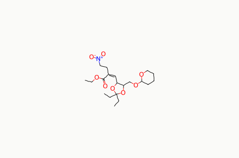 CCOC(=O)C(=CC1OC(CC)(CC)OC1COC1CCCCO1)CC[N+](=O)[O-]